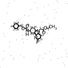 CCOC(=O)Cn1c2c(c3nc(F)ccc31)C[C@@H](NC(=O)OCc1ccccc1)CC2